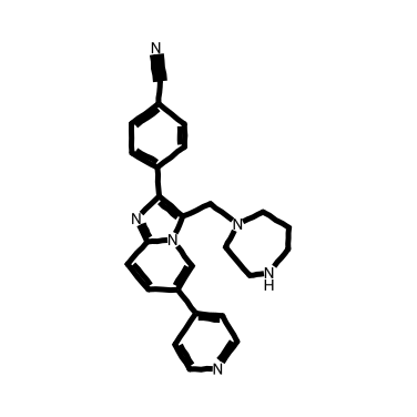 N#Cc1ccc(-c2nc3ccc(-c4ccncc4)cn3c2CN2CCCNCC2)cc1